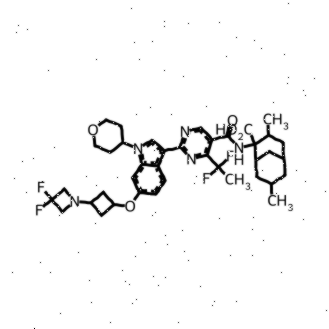 CC1CC2CC(C)C(NC(=O)c3cnc(-c4cn(C5CCOCC5)c5cc(OC6CC(N7CC(F)(F)C7)C6)ccc45)nc3C(C)(F)F)(C(=O)O)C(C1)C2